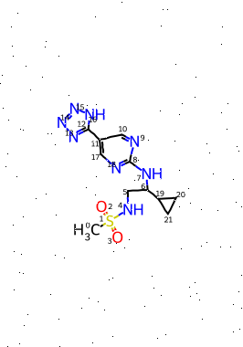 CS(=O)(=O)NCC(Nc1ncc(-c2nnn[nH]2)cn1)C1CC1